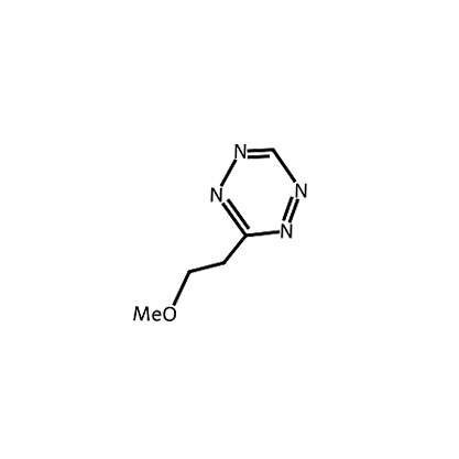 COCCc1nncnn1